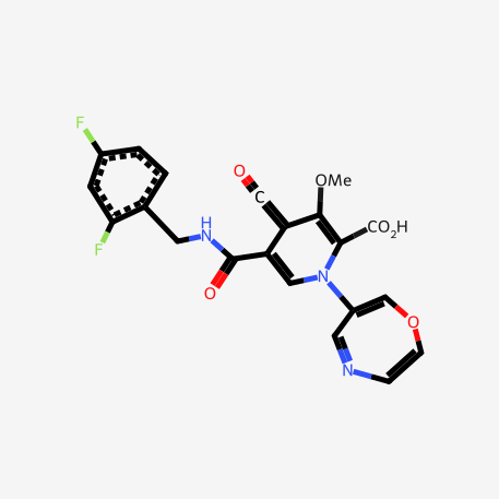 COC1=C(C(=O)O)N(C2=COC=CN=C2)C=C(C(=O)NCc2ccc(F)cc2F)C1=C=O